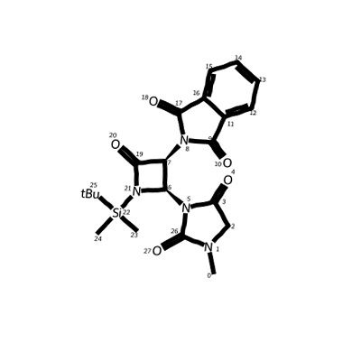 CN1CC(=O)N([C@@H]2[C@H](N3C(=O)c4ccccc4C3=O)C(=O)N2[Si](C)(C)C(C)(C)C)C1=O